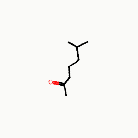 C[C](C)CCCC(C)=O